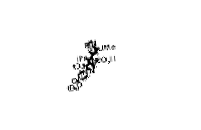 COc1cc(-c2c(C(C)C)c3c(C(C)(C)C)c(N4CCN(C(=O)OC(C)(C)C)CC4)ncc3n2C(=O)O)cn2ncnc12